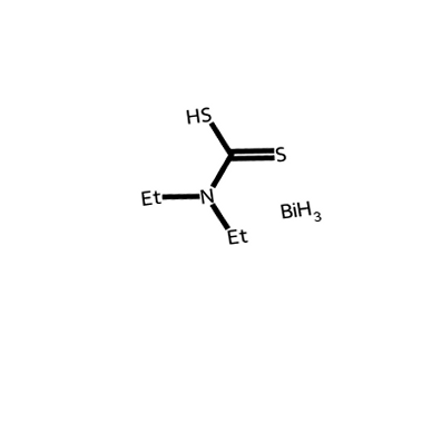 CCN(CC)C(=S)S.[BiH3]